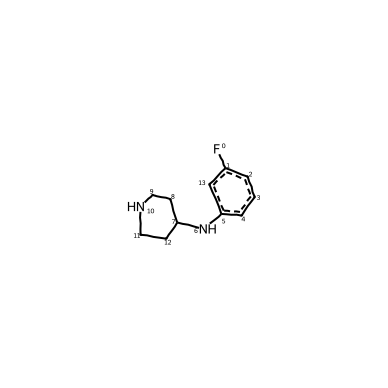 Fc1cccc(NC2CCNCC2)c1